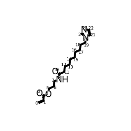 C=CC(=O)OCCCNC(=O)CCCCCCCCCn1ccnc1